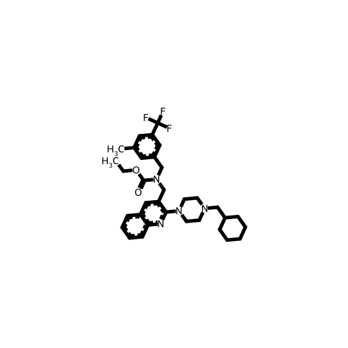 CCOC(=O)N(Cc1cc(C)cc(C(F)(F)F)c1)Cc1cc2ccccc2nc1N1CCN(CC2CCCCC2)CC1